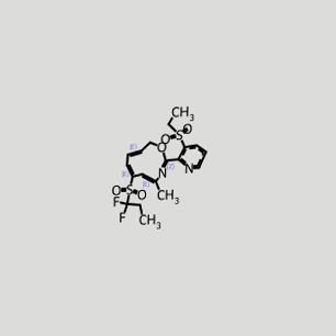 CCC(F)(F)S(=O)(=O)C1=C/C=C/CO/C(c2ncccc2S(=O)(=O)CC)=N\C(C)=C\1